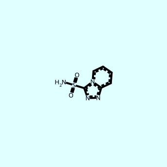 NS(=O)(=O)c1nnc2ccccn12